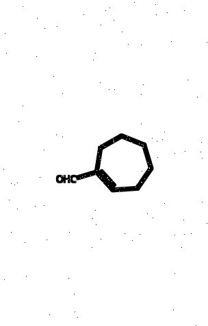 O=CC1=CCCCCC1